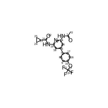 CC(=O)Nc1cc(-c2ccc(OC(F)(F)F)cc2)cc(NC(=O)C2CC2)n1